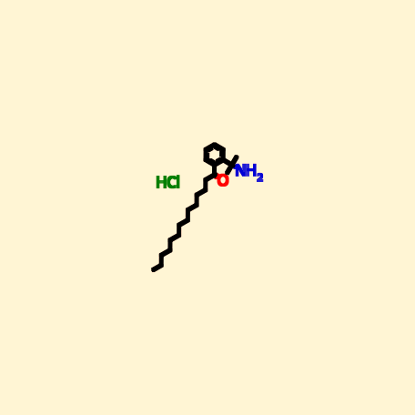 CCCCCCCCCCCCCC(=O)c1ccccc1C(C)(C)N.Cl